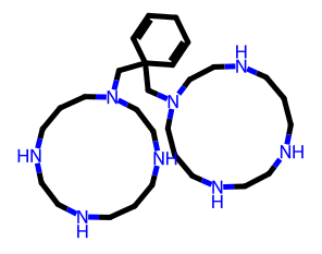 C1=CC(CN2CCCNCCNCCCNCC2)(CN2CCCNCCNCCCNCC2)C=CC1